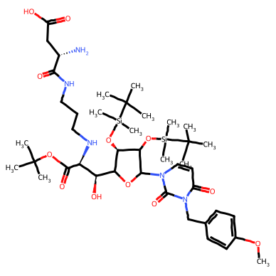 COc1ccc(Cn2c(=O)ccn(C3OC([C@@H](O)[C@H](NCCCNC(=O)[C@@H](N)CC(=O)O)C(=O)OC(C)(C)C)[C@@H](O[Si](C)(C)C(C)(C)C)C3O[Si](C)(C)C(C)(C)C)c2=O)cc1